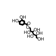 O=C(OCC(O)C(O)C(O)C(O)CO)c1ccc(O)c(O)c1